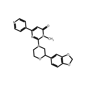 Cn1c(N2CCOC(c3ccc4c(c3)OCO4)C2)nc(-c2ccncc2)cc1=O